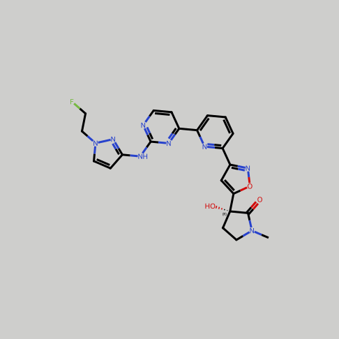 CN1CC[C@@](O)(c2cc(-c3cccc(-c4ccnc(Nc5ccn(CCF)n5)n4)n3)no2)C1=O